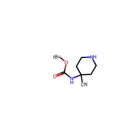 CC(C)(C)OC(=O)NC1(C#N)CCNCC1